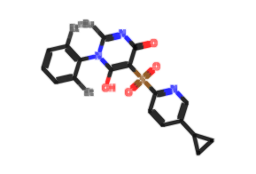 CCCCc1nc(=O)c(S(=O)(=O)c2ccc(C3CC3)cn2)c(O)n1-c1c(CC)cccc1CC